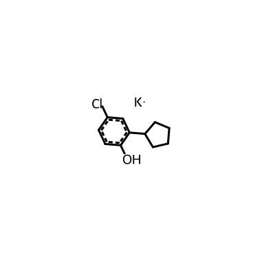 Oc1ccc(Cl)cc1C1CCCC1.[K]